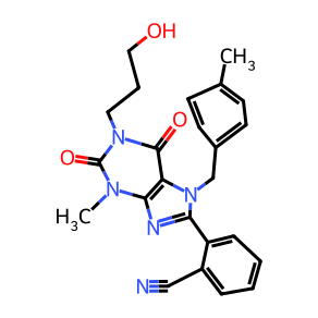 Cc1ccc(Cn2c(-c3ccccc3C#N)nc3c2c(=O)n(CCCO)c(=O)n3C)cc1